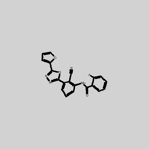 N#Cc1c(NC(=O)c2ccccc2F)cccc1-c1nnc(-c2ccco2)o1